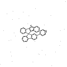 c1ccc2c(c1)-c1ccc(-c3ccncc3)cc1C21c2ccccc2-c2sc3ccccc3c21